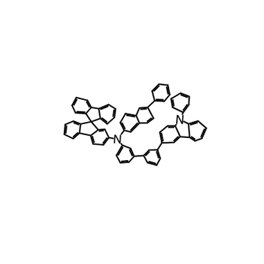 c1ccc(-c2ccc3cc(N(c4cccc(-c5cccc(-c6ccc7c(c6)c6ccccc6n7-c6ccccc6)c5)c4)c4ccc5c(c4)C4(c6ccccc6-c6ccccc64)c4ccccc4-5)ccc3c2)cc1